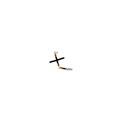 CNSC(C)(C)S